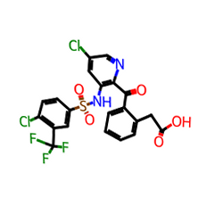 O=C(O)Cc1ccccc1C(=O)c1ncc(Cl)cc1NS(=O)(=O)c1ccc(Cl)c(C(F)(F)F)c1